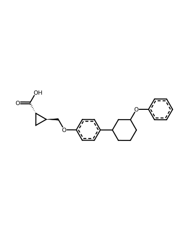 O=C(O)[C@H]1C[C@@H]1COc1ccc(C2CCCC(Oc3ccccc3)C2)cc1